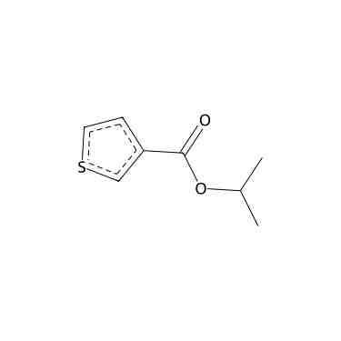 CC(C)OC(=O)c1ccsc1